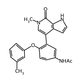 CC(=O)Nc1ccc(Oc2cccc(C)c2)c(-c2cn(C)c(=O)c3[nH]ccc23)c1